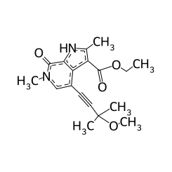 CCOC(=O)c1c(C)[nH]c2c(=O)n(C)cc(C#CC(C)(C)OC)c12